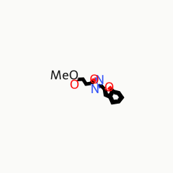 COC(=O)CCc1nc(-c2cc3ccccc3o2)no1